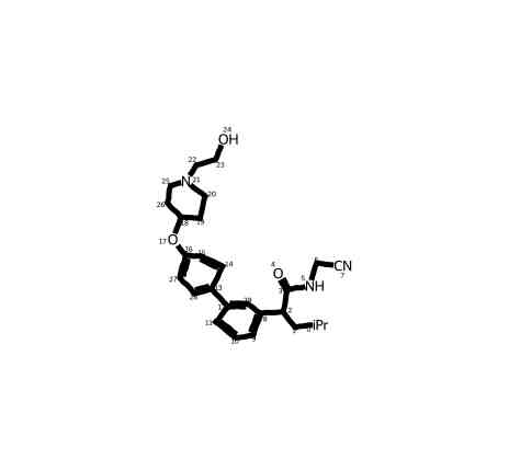 CC(C)CC(C(=O)NCC#N)c1cccc(-c2ccc(OC3CCN(CCO)CC3)cc2)c1